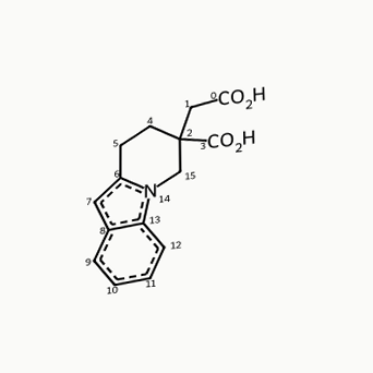 O=C(O)CC1(C(=O)O)CCc2cc3ccccc3n2C1